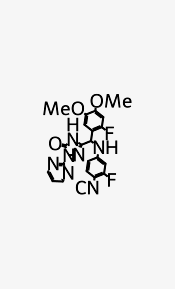 COc1cc(F)c(C(Nc2ccc(C#N)c(F)c2)c2nn(-c3ncccn3)c(=O)[nH]2)cc1OC